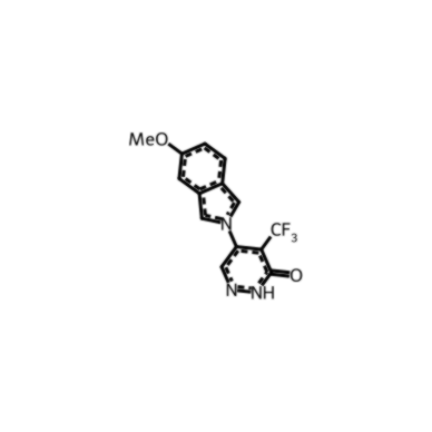 COc1ccc2cn(-c3cn[nH]c(=O)c3C(F)(F)F)cc2c1